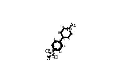 CC(=O)N1CCC(c2ccc(S(=O)(=O)Cl)cc2)CC1